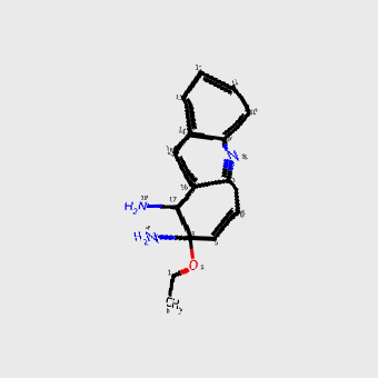 CCOC1(N)C=Cc2nc3ccccc3cc2C1N